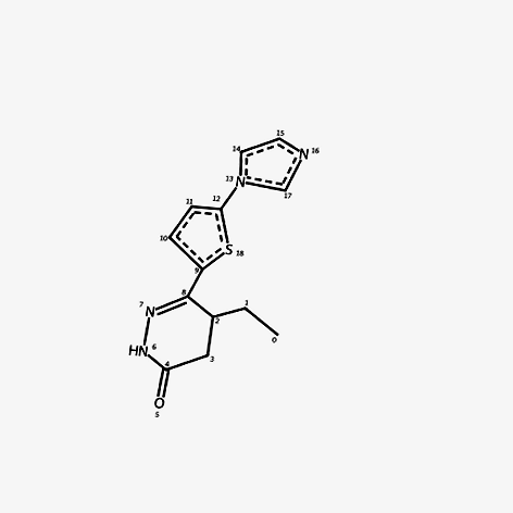 CCC1CC(=O)NN=C1c1ccc(-n2ccnc2)s1